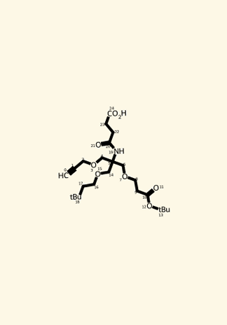 C#CCOCC(COCCC(=O)OC(C)(C)C)(COCCC(C)(C)C)NC(=O)CCC(=O)O